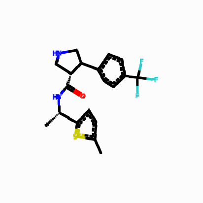 Cc1ccc([C@H](C)NC(=O)[C@@H]2CNCC2c2ccc(C(F)(F)F)cc2)s1